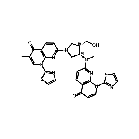 Cc1cn(-c2nccs2)c2nc(N3C[C@H](CO)[C@@H](N(C)c4ccc5c(=O)ccn(-c6nccs6)c5n4)C3)ccc2c1=O